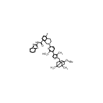 Cc1c(-c2ccc(N3CCc4c(F)ccc(C(=O)Nc5nc6ccccc6s5)c4C3)nc2C(=O)O)cnn1CC12CC3(C)CC(C)(C1)CC(OC(C)(C)C)(C3)C2